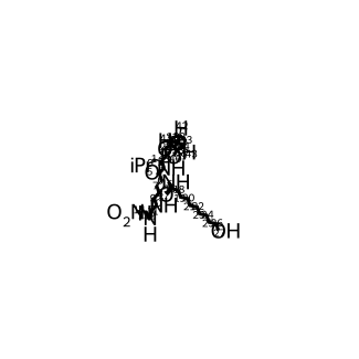 CC(C)C[C@H](NC(=O)[C@H](CCCNC1NN1[N+](=O)[O-])NC(=O)CCCCCCCCCO)B1O[C@@H]2C[C@@H]3C[C@@H](C3(C)C)[C@]2(C)O1